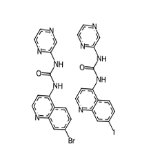 O=C(Nc1cnccn1)Nc1ccnc2cc(Br)ccc12.O=C(Nc1cnccn1)Nc1ccnc2cc(I)ccc12